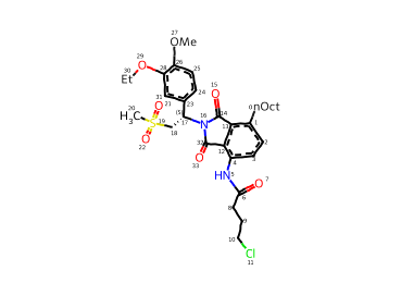 CCCCCCCCc1ccc(NC(=O)CCCCl)c2c1C(=O)N([C@H](CS(C)(=O)=O)c1ccc(OC)c(OCC)c1)C2=O